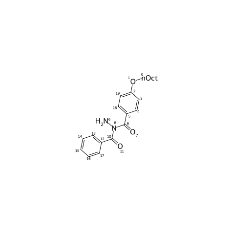 CCCCCCCCOc1ccc(C(=O)N(N)C(=O)c2ccccc2)cc1